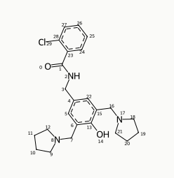 O=C(NCc1cc(CN2CCCC2)c(O)c(CN2CCCC2)c1)c1ccccc1Cl